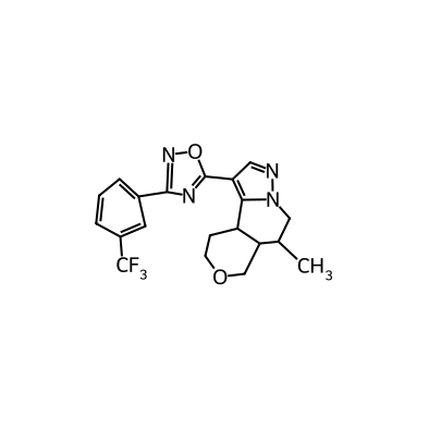 CC1Cn2ncc(-c3nc(-c4cccc(C(F)(F)F)c4)no3)c2C2CCOCC12